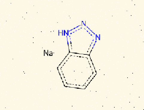 [Na].c1ccc2[nH]nnc2c1